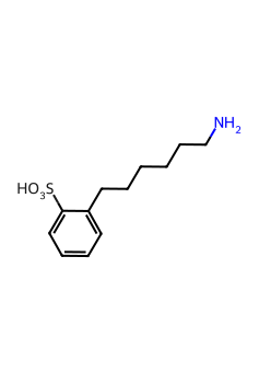 NCCCCCCc1ccccc1S(=O)(=O)O